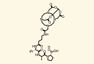 CC(C)[C@H](NC(=O)CCCNC(=O)CN1CCN2CCN3CCN(CC1)CC(=O)OC(OC(=O)C2)OC(=O)C3)C(=O)N[C@H](C)C(=O)N1CCC[C@H]1B(O)O